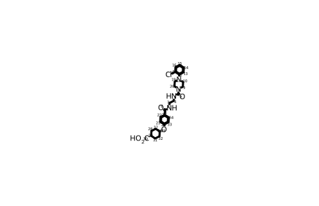 O=C(NCCNC(=O)N1CCN(c2ccccc2Cl)CC1)c1ccc(O[C@H]2CC[C@@H](C(=O)O)CC2)cc1